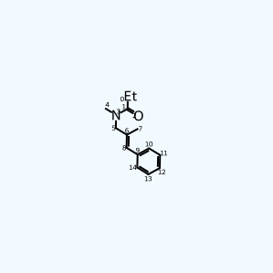 CCC(=O)N(C)C/C(C)=C/c1ccccc1